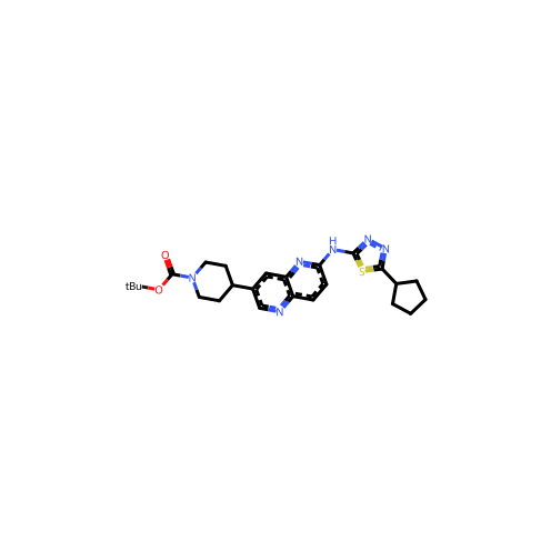 CC(C)(C)OC(=O)N1CCC(c2cnc3ccc(Nc4nnc(C5CCCC5)s4)nc3c2)CC1